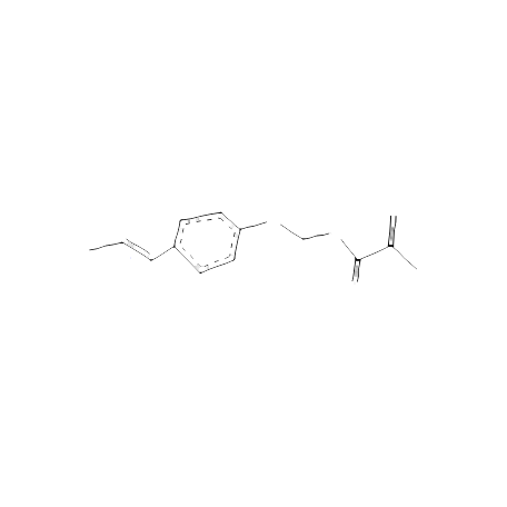 C=C(C)C(=O)OCOc1ccc(/C=C/C)cc1